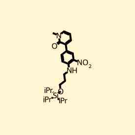 CC(C)[Si](OCCCNc1ccc(-c2cccn(C)c2=O)cc1[N+](=O)[O-])(C(C)C)C(C)C